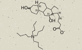 CCCC[N+](CCCC)(CCCC)CCCC.C[C@H](CCC(=O)[O-])[C@H]1CCC2C3CC[C@@H]4C[C@H](O)CC[C@]4(C)C3C[C@H](O)[C@@]21C